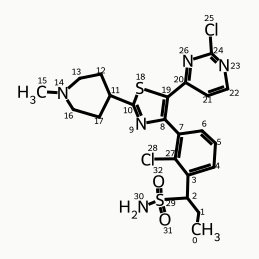 CCC(c1cccc(-c2nc(C3CCN(C)CC3)sc2-c2ccnc(Cl)n2)c1Cl)S(N)(=O)=O